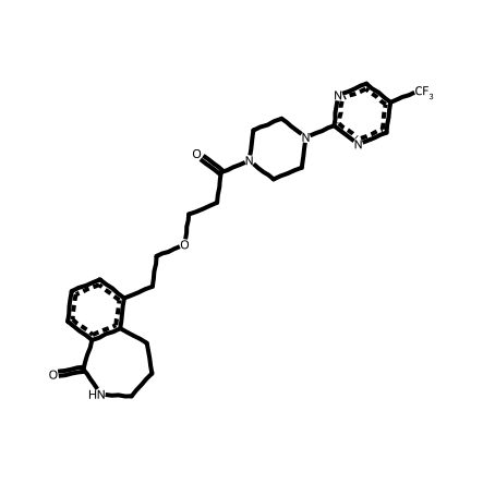 O=C1NCCCc2c(CCOCCC(=O)N3CCN(c4ncc(C(F)(F)F)cn4)CC3)cccc21